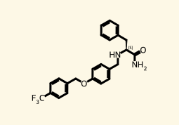 NC(=O)[C@H](Cc1ccccc1)NCc1ccc(OCc2ccc(C(F)(F)F)cc2)cc1